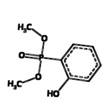 COP(=O)(OC)c1ccccc1O